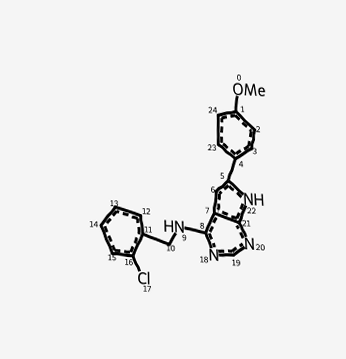 COc1ccc(-c2cc3c(NCc4ccccc4Cl)ncnc3[nH]2)cc1